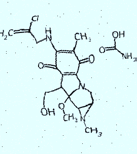 C=C(Cl)CNC1=C(C)C(=O)C2=C(C1=O)C(CO)C1(OC)C3C(CN21)N3C.NC(=O)O